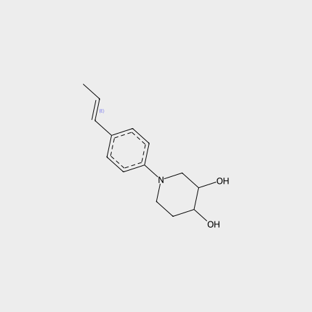 C/C=C/c1ccc(N2CCC(O)C(O)C2)cc1